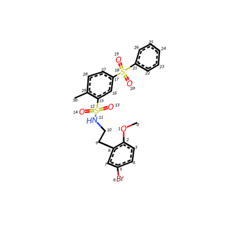 COc1ccc(Br)cc1CCNS(=O)(=O)c1cc(S(=O)(=O)c2ccccc2)ccc1C